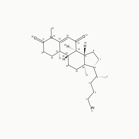 CC(C)CCC[C@@H](C)[C@H]1CC[C@H]2[C@@H]3C(=O)C=C4N(C)C(=O)CC[C@]4(C)[C@H]3CC[C@]12C